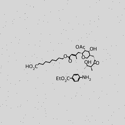 CC(=O)O[C@@H]1[C@H](O)[C@@H](C[C@@H]2O[C@H]2[C@@H](C)[C@H](C)O)CO[C@H]1C/C(C)=C/C(=O)OCCCCCCCCC(=O)O.CCOC(=O)c1ccc(N)cc1